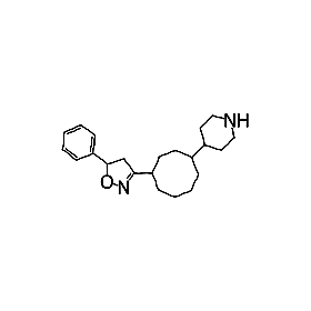 c1ccc(C2CC(C3CCCCC(C4CCNCC4)CC3)=NO2)cc1